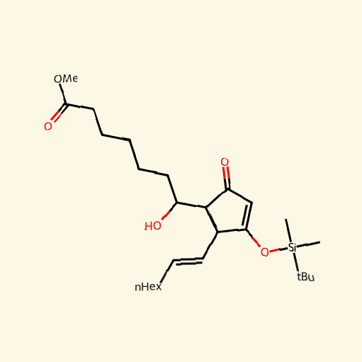 CCCCCCC=CC1C(O[Si](C)(C)C(C)(C)C)=CC(=O)C1C(O)CCCCCC(=O)OC